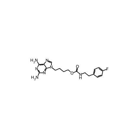 Nc1nc(N)c2ncn(CCCCOC(=O)NCCc3ccc(F)cc3)c2n1